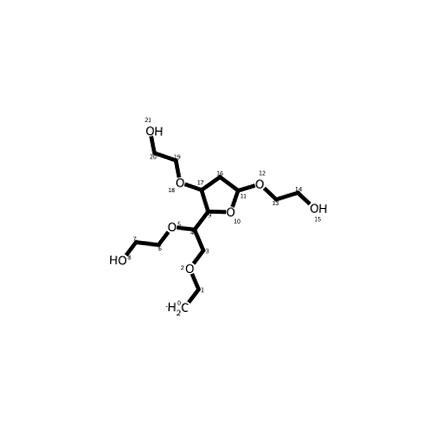 [CH2]COCC(OCCO)C1OC(OCCO)CC1OCCO